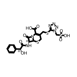 O=C(O)C1=C(CSc2nnnn2CS(=O)(=O)O)CSC2[C@H](NC(=O)[C@H](O)c3ccccc3)C(=O)N12